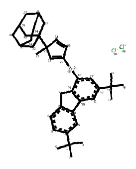 CC(C)(C)c1ccc2c(c1)-c1cc(C(C)(C)C)c[c]([Zr+2][C]3=CC(C)(C45CC6CC(CC(C6)C4)C5)C=C3)c1C2.[Cl-].[Cl-]